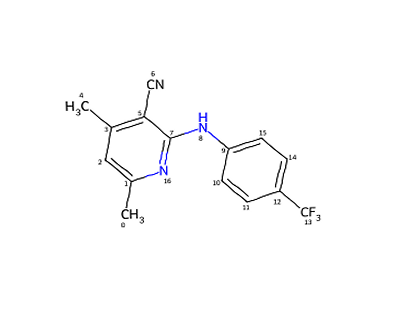 Cc1cc(C)c(C#N)c(Nc2ccc(C(F)(F)F)cc2)n1